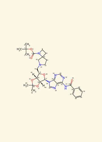 CC(C)(C)OC(=O)N1CCC12CCN(C[C@H]1O[C@@H](n3cnc4c(NC(=O)c5ccccc5)ncnc43)[C@@H]3OC(C)(C)O[C@@H]31)C2